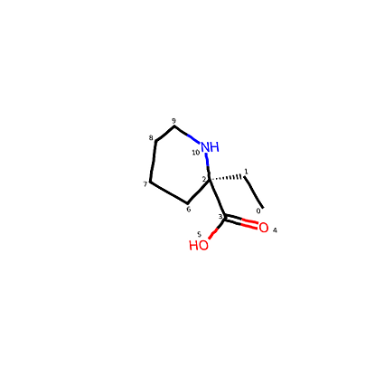 CC[C@]1(C(=O)O)CCCCN1